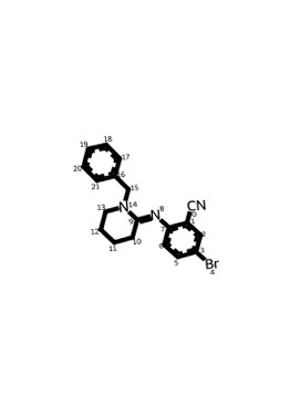 N#Cc1cc(Br)ccc1/N=C1\CCCCN1Cc1ccccc1